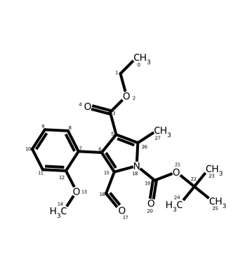 CCOC(=O)c1c(-c2ccccc2OC)c(C=O)n(C(=O)OC(C)(C)C)c1C